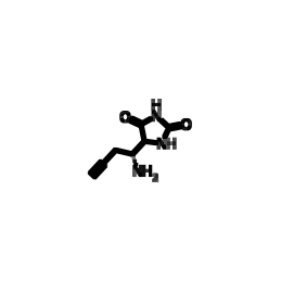 C#CC[C@@H](N)C1NC(=O)NC1=O